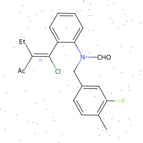 CC/C(C(C)=O)=C(/Cl)c1ccccc1N(C=O)Cc1ccc(C)c(F)c1